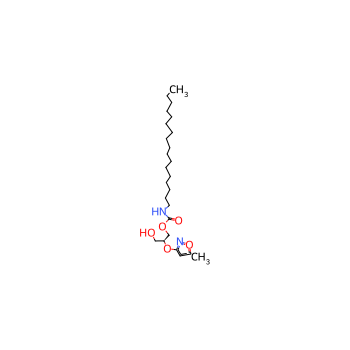 CCCCCCCCCCCCCCCCCNC(=O)OC[C@H](CO)Oc1cc(C)on1